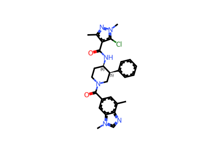 Cc1nn(C)c(Cl)c1C(=O)N[C@@H]1CCN(C(=O)c2cc(C)c3ncn(C)c3c2)C[C@@H]1c1ccccc1